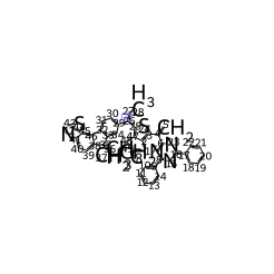 C=Cc1c(C(=C)c2nc(-c3ccccc3)nc(-c3ccccc3)n2)sc(/C(=C\C)c2ccc3c(c2)C(C)(C)c2ccc4ncsc4c2-3)c1C=C